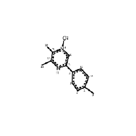 Cc1ccc(-c2c[n+]([O-])c(C)c(C)n2)cc1